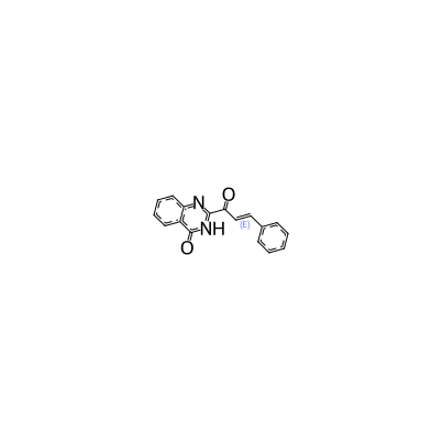 O=C(/C=C/c1ccccc1)c1nc2ccccc2c(=O)[nH]1